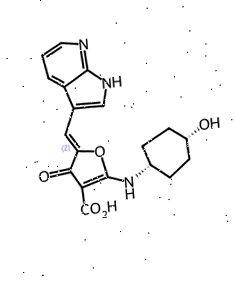 O=C(O)C1=C(N[C@H]2CC[C@@H](O)CC2)O/C(=C\c2c[nH]c3ncccc23)C1=O